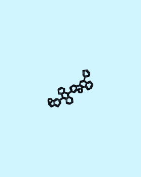 c1ccc(-c2cc3c4ccc(-c5c6ccccc6c(-c6ccc7ccoc7c6)c6ccccc56)cc4oc3c3ccccc23)cc1